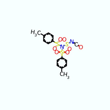 Cc1ccc(S(=O)(=O)N(S(=O)(=O)N=C=O)S(=O)(=O)c2ccc(C)cc2)cc1